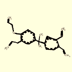 C=CCOc1ccc(C(C)(C)c2ccc(C=C)c(C=C)c2)cc1CC=C